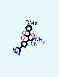 COc1ccc2c3c(c(=O)oc2c1)C(c1ccc(-c2cncnc2)cc1)C(C#N)=C(N)O3